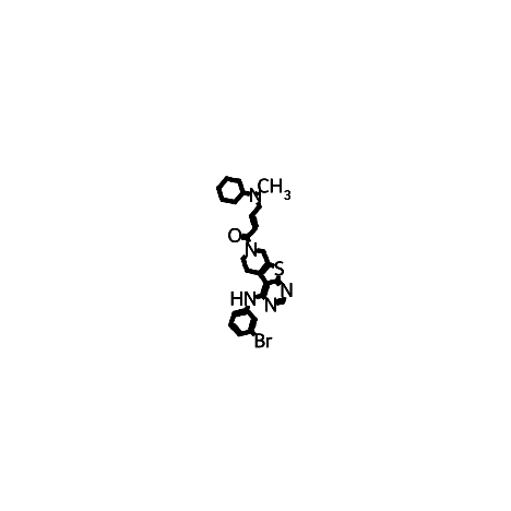 CN(C/C=C/C(=O)N1CCc2c(sc3ncnc(Nc4cccc(Br)c4)c23)C1)C1CCCCC1